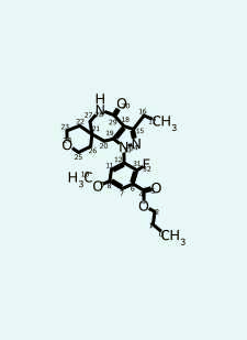 CCCOC(=O)c1cc(OC)cc(-n2nc(CC)c3c2CC2(CCOCC2)CNC3=O)c1F